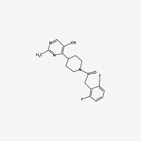 Cc1ncc(C#N)c(C2CCN(C(=O)Cc3c(F)cccc3F)CC2)n1